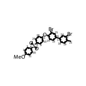 COc1ccc(S(=O)(=O)c2ccc(Oc3ccc(-c4ccc(C)c(Br)c4)cc3Br)cc2)cc1